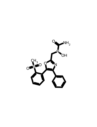 CS(=O)(=O)c1ccccc1-c1oc(CN(O)C(N)=O)nc1-c1ccccc1